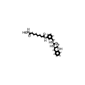 O=C(CCCCCCC(=O)Nc1cccc(CNC(=O)NC(Cc2ccccc2)C(=O)O)c1)NO